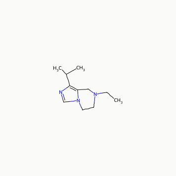 CCN1CCn2cnc(C(C)C)c2C1